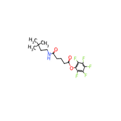 CC(C)(C)CCNC(=O)CCCC(=O)Oc1c(F)c(F)c(F)c(F)c1F